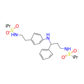 CC(C)S(=O)(=O)NCCc1ccc(NC(CCNS(=O)(=O)C(C)C)c2ccccc2)cc1